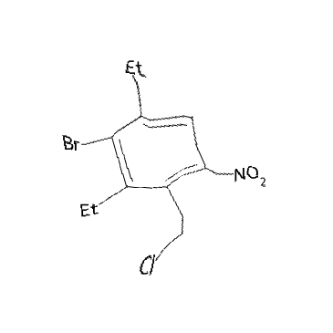 CCc1cc([N+](=O)[O-])c(CCl)c(CC)c1Br